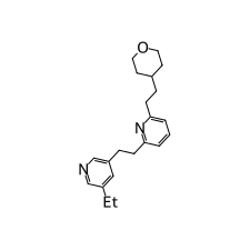 CCc1cncc(CCc2cccc(CCC3CCOCC3)n2)c1